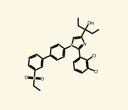 CCC(O)(CC)c1cn(-c2ccc(-c3cccc(S(=O)(=O)CC)c3)cc2)c(-c2cccc(Cl)c2Cl)n1